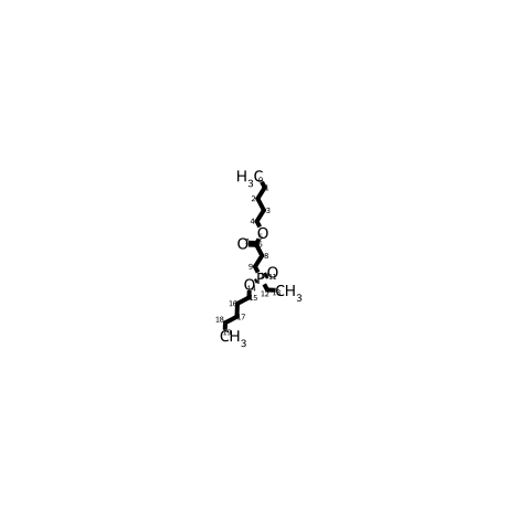 CCCCCOC(=O)CCP(=O)(CC)OCCCCC